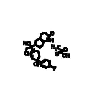 CC[C@](O)(c1ccc2c(c1)CCC(=O)N2)N1CCC(O)(c2ccc(F)cc2)CC1.CS(=O)(=O)O